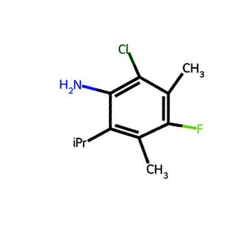 Cc1c(F)c(C)c(C(C)C)c(N)c1Cl